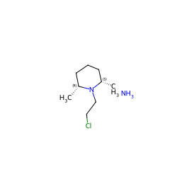 C[C@@H]1CCC[C@H](C)N1CCCl.N